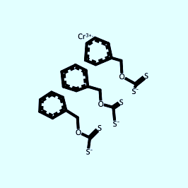 S=C([S-])OCc1ccccc1.S=C([S-])OCc1ccccc1.S=C([S-])OCc1ccccc1.[Cr+3]